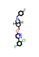 Fc1ccc(CN2C[C@H]3CC(COc4ccc(-c5cc(F)ccc5Cl)nn4)C[C@H]3C2)cc1